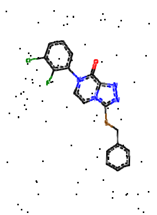 O=c1c2nnc(SCc3ccccc3)n2ccn1-c1cccc(Cl)c1F